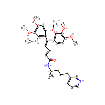 COc1ccc(C(=C/C=C/C(=O)NC(C)CCCc2cccnc2)c2ccc(OC)c(OC)c2OC)c(OC)c1OC